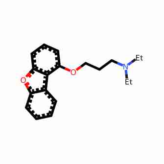 CCN(CC)CCCOc1cccc2oc3ccccc3c12